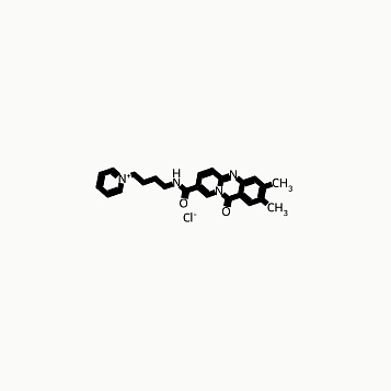 Cc1cc2nc3ccc(C(=O)NCCCC[n+]4ccccc4)cn3c(=O)c2cc1C.[Cl-]